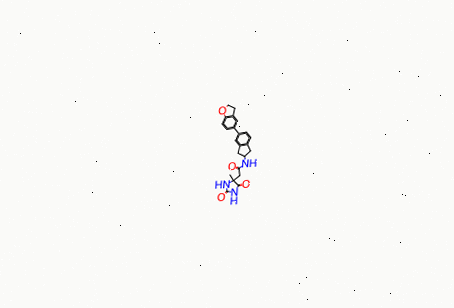 CC1(CC(=O)NC2Cc3ccc(-c4ccc5c(c4)CCO5)cc3C2)NC(=O)NC1=O